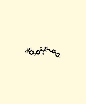 O=C(Nc1nnc(CCC2CCC(N3CCOCC3)C2)s1)c1ccc(OC2CCC(C(=O)O)CC2)cc1